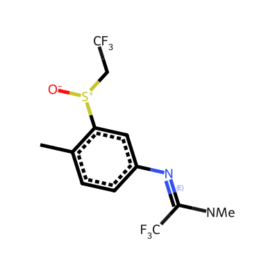 CN/C(=N/c1ccc(C)c([S+]([O-])CC(F)(F)F)c1)C(F)(F)F